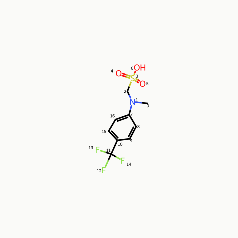 CN(CS(=O)(=O)O)c1ccc(C(F)(F)F)cc1